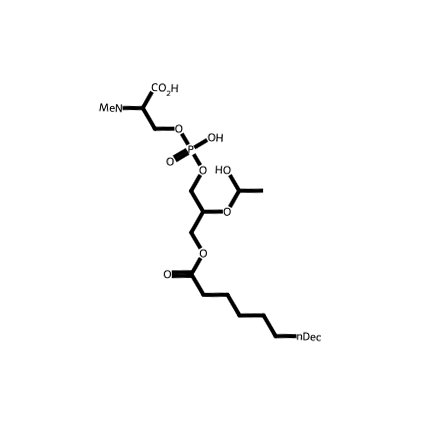 CCCCCCCCCCCCCCCC(=O)OCC(COP(=O)(O)OCC(NC)C(=O)O)OC(C)O